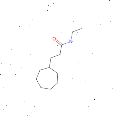 CC[N]C(=O)CCC1CCCCCC1